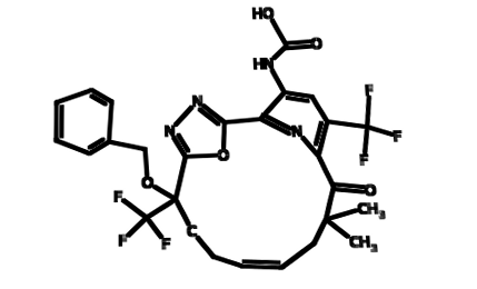 CC1(C)CC=CCCC(OCc2ccccc2)(C(F)(F)F)c2nnc(o2)-c2nc(c(C(F)(F)F)cc2NC(=O)O)C1=O